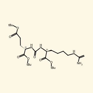 C=C(N)NCCCC[C@H](NC(=O)N[C@@H](CCC(=O)OC(C)(C)C)C(=O)OC(C)(C)C)C(=O)OC(C)(C)C